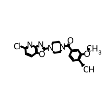 C#Cc1ccc(C(=O)N2CCN(c3nc4nc(Cl)ccc4o3)CC2)cc1OC